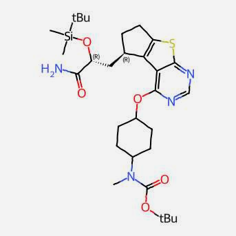 CN(C(=O)OC(C)(C)C)C1CCC(Oc2ncnc3sc4c(c23)[C@@H](C[C@@H](O[Si](C)(C)C(C)(C)C)C(N)=O)CC4)CC1